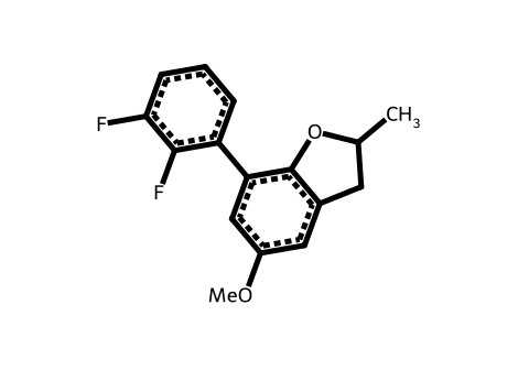 COc1cc2c(c(-c3cccc(F)c3F)c1)OC(C)C2